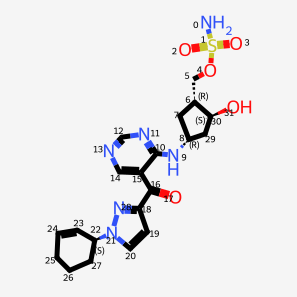 NS(=O)(=O)OC[C@H]1C[C@@H](Nc2ncncc2C(=O)c2ccn([C@@H]3C=CCCC3)n2)C[C@@H]1O